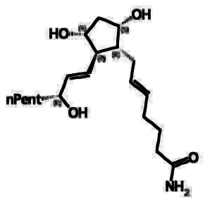 CCCCC[C@@H](O)C=C[C@@H]1[C@@H](CC=CCCCC(N)=O)[C@@H](O)C[C@H]1O